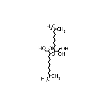 CC(C)CCCCCCCC(OC(CCCCCCCC(C)C)C(O)CO)C(O)CO